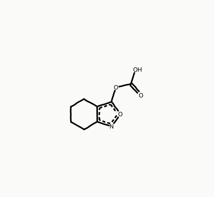 O=C(O)Oc1onc2c1CCCC2